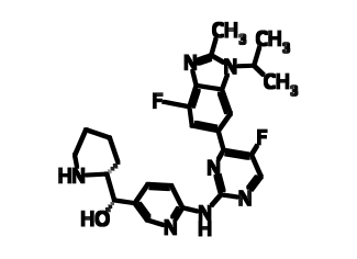 Cc1nc2c(F)cc(-c3nc(Nc4ccc([C@H](O)[C@H]5CCCCN5)cn4)ncc3F)cc2n1C(C)C